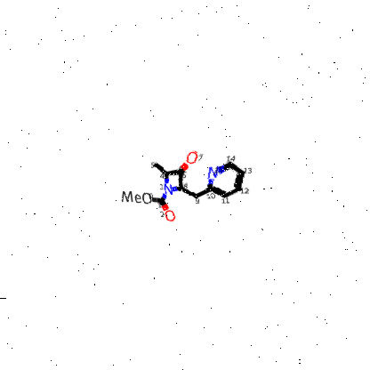 COC(=O)N1C(C)C(=O)C1Cc1ccccn1